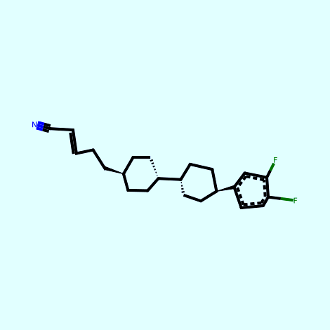 N#CC=CCC[C@H]1CC[C@H]([C@H]2CC[C@H](c3ccc(F)c(F)c3)CC2)CC1